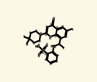 Cc1cc(C(C)Nc2ccccc2S(=O)(=O)O)c2oc(N3CCC(C)(C)CC3)cc(=O)c2c1